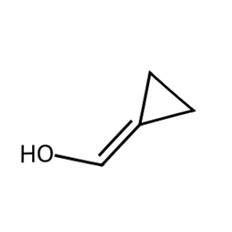 OC=C1CC1